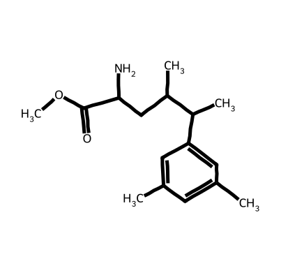 COC(=O)C(N)CC(C)C(C)c1cc(C)cc(C)c1